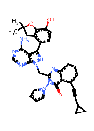 CC1(C)Cc2c(-c3nn(Cc4nc5cccc(C#CC6CC6)c5c(=O)n4-n4cccc4)c4ncnc(N)c34)ccc(O)c2O1